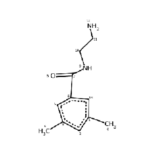 Cc1cc(C)cc(C(=O)NCCN)c1